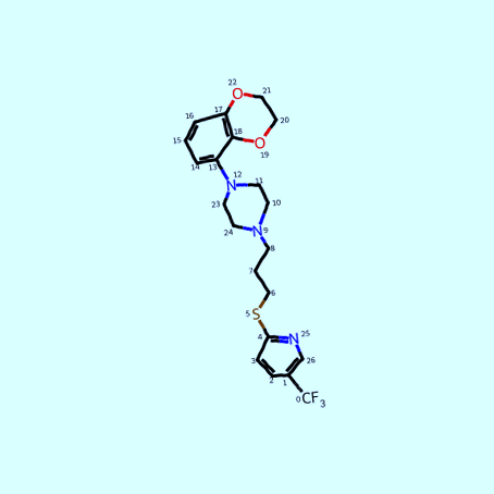 FC(F)(F)c1ccc(SCCCN2CCN(c3cccc4c3OCCO4)CC2)nc1